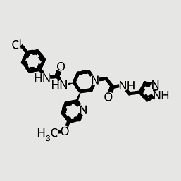 COc1ccc([C@@H]2CN(CC(=O)NCc3cn[nH]c3)CC[C@H]2NC(=O)Nc2ccc(Cl)cc2)nc1